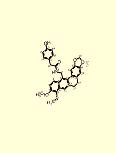 COc1ccc2c(CNC(=O)Cc3ccc(O)cc3)c3[n+](cc2c1OC)CCc1cc2c(cc1-3)OCO2.[I-]